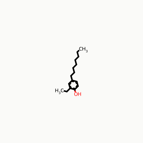 CCCCCCCCc1ccc(O)c(CC)c1